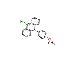 COc1ccc(-c2c3ccccc3c(Br)c3ccccc23)cc1